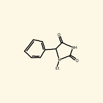 CCN1C(=O)NC(=O)C1c1ccccc1